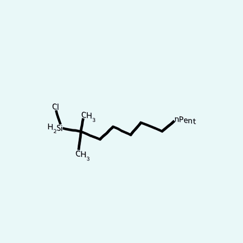 CCCCCCCCCCC(C)(C)[SiH2]Cl